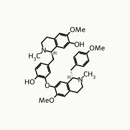 COc1ccc(C[C@H]2c3cc(Oc4cc(C[C@@H]5c6cc(O)c(OC)cc6CCN5C)ccc4O)c(OC)cc3CCN2C)cc1